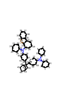 c1ccc(N(c2ccccc2)c2ccc(C3(c4ccc(N(c5ccccc5)c5cccc6c5sc5ccccc56)cc4)CC4CCC3C4)cc2)cc1